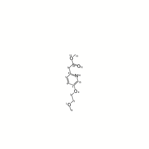 COCCOc1ccc(CC(=O)OC)nc1